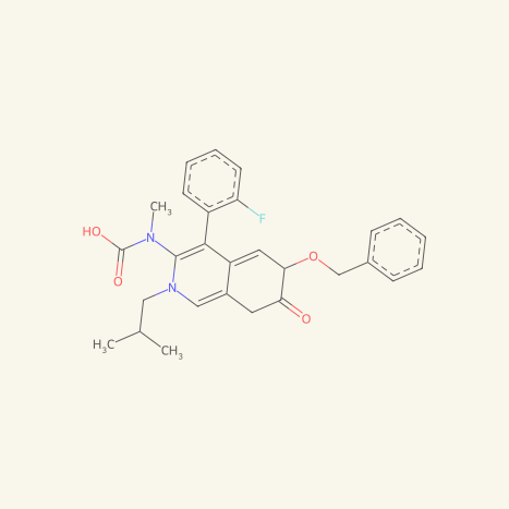 CC(C)CN1C=C2CC(=O)C(OCc3ccccc3)C=C2C(c2ccccc2F)=C1N(C)C(=O)O